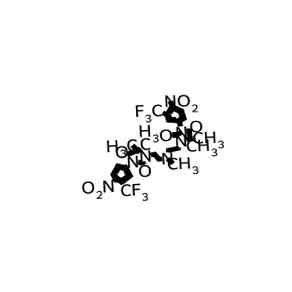 CN(CCN1C(=O)N(c2ccc([N+](=O)[O-])c(C(F)(F)F)c2)C(=O)C1(C)C)CCN1C(=O)N(c2ccc([N+](=O)[O-])c(C(F)(F)F)c2)C(=O)C1(C)C